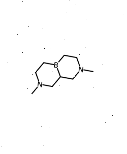 CN1CCB2CCN(C)CC2C1